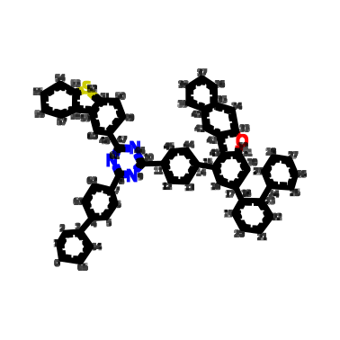 c1ccc(-c2ccc(-c3nc(-c4ccc(-c5cc(-c6ccccc6-c6ccccc6)cc6oc7cc8ccccc8cc7c56)cc4)nc(-c4ccc5sc6ccccc6c5c4)n3)cc2)cc1